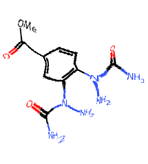 COC(=O)c1ccc(N(N)C(N)=O)c(N(N)C(N)=O)c1